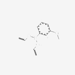 C=COB(OC=C)c1cccc(OC)c1